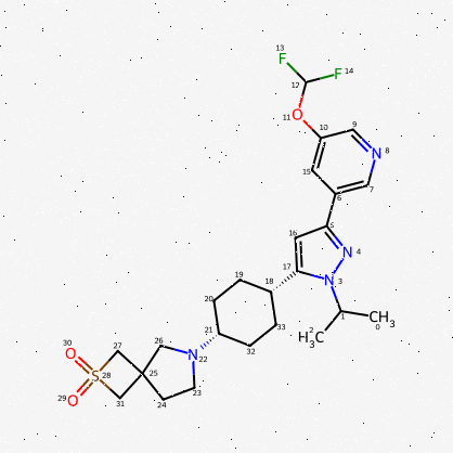 CC(C)n1nc(-c2cncc(OC(F)F)c2)cc1[C@H]1CC[C@@H](N2CCC3(C2)CS(=O)(=O)C3)CC1